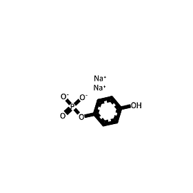 O=P([O-])([O-])Oc1ccc(O)cc1.[Na+].[Na+]